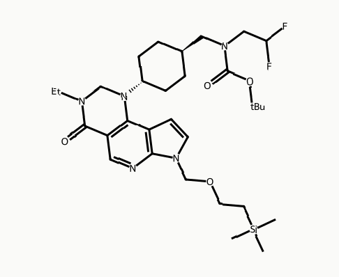 CCN1CN([C@H]2CC[C@H](CN(CC(F)F)C(=O)OC(C)(C)C)CC2)c2c(cnc3c2ccn3COCC[Si](C)(C)C)C1=O